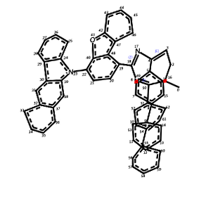 CC1C/C=C(c2ccc(-c3ccccc3)cc2)/N=C(c2ccc(-n3c4ccccc4c4cc5ccccc5cc43)c3oc4ccccc4c23)\N=C/1c1ccc(-c2ccccc2)cc1